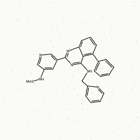 CSNc1cncc(-c2nc(NCc3ccccn3)c3c(-c4ccccc4)cccc3n2)c1